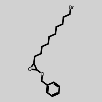 BrCCCCCCCCCCC1OC1OCc1ccccc1